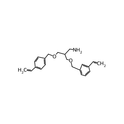 C=Cc1ccc(COCC(CN)COCc2cccc(C=C)c2)cc1